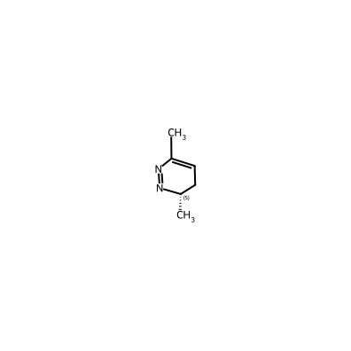 CC1=CC[C@H](C)N=N1